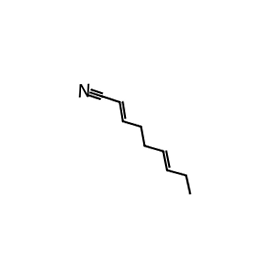 CC/C=C/CC/C=C/C#N